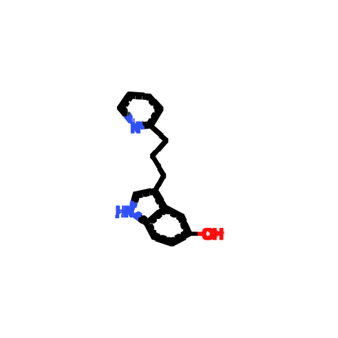 Oc1ccc2[nH]cc(CCCc3ccccn3)c2c1